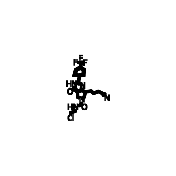 N#CCCCC1CN(C(=O)NCCCl)Cc2c1nc(-c1ccc(C(F)(F)F)cc1)[nH]c2=O